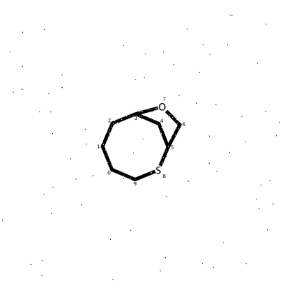 C1CCC2CC(CO2)SC1